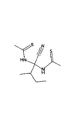 CCC(C)C(C#N)(NC(C)=S)NC(C)=S